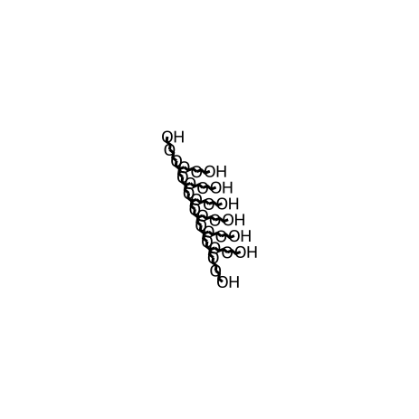 OCCOCCOCC(COCC(COCC(COCC(COCC(COCC(COCCOCCO)OCCOCCO)OCCOCCO)OCCOCCO)OCCOCCO)OCCOCCO)OCCOCCO